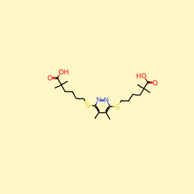 Cc1c(SCCCCC(C)(C)C(=O)O)nnc(SCCCCC(C)(C)C(=O)O)c1C